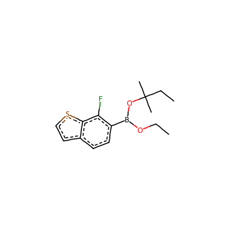 CCOB(OC(C)(C)CC)c1ccc2ccsc2c1F